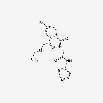 CCOCc1nn(CC(=O)Nc2ccncn2)c(=O)c2ccc(Br)cc12